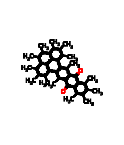 Cc1c(C)c(C)c2c(=O)c3c(C)c4c(c(C)c3c(=O)c2c1C)c1c(C)c(C)c(C)c2c(C)c(C)c3c(C)c(C)c(C)c4c3c21